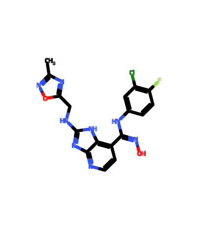 Cc1noc(CNc2nc3nccc(/C(=N\O)Nc4ccc(F)c(Cl)c4)c3[nH]2)n1